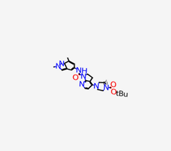 Cc1cc(NC(=O)N2CCc3c(N4CCN(C(=O)OC(C)(C)C)[C@@H](C)C4)ccnc32)cc2cn(C)nc12